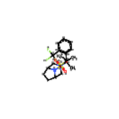 CC(C)(C)N1CC2CCC(C1)N2S(=O)(=O)Cc1ccccc1C(F)(F)F